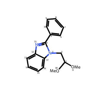 COC(Cn1c(-c2ccccc2)nc2ccccc21)OC